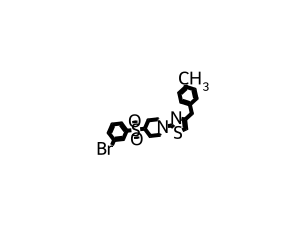 Cc1ccc(Cc2csc(N3CCC(S(=O)(=O)c4cccc(Br)c4)CC3)n2)cc1